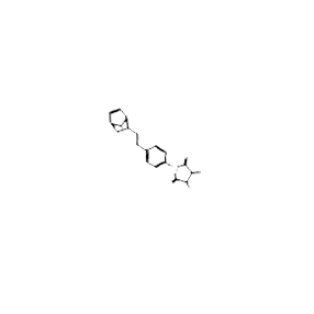 CC1C(=O)N(c2ccc(CCC3CC4C=CC3C4)cc2)C(=O)C1C